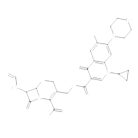 O=CNC1C(=O)N2C(C(=O)O)=C(COC(=O)c3cn(C4CC4)c4cc(N5CCNCC5)c(F)cc4c3=O)CSC12